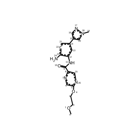 COCCOc1cnc(C(=O)Nc2cc(-c3cnn(C)c3)ccc2N)cn1